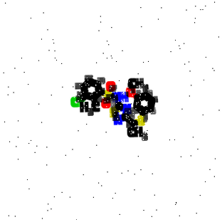 COc1cccc(S[C@H](C)c2nsc(NS(=O)(=O)c3cccc(Cl)c3C)n2)c1